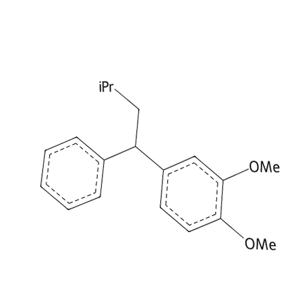 COc1ccc(C(CC(C)C)c2ccccc2)cc1OC